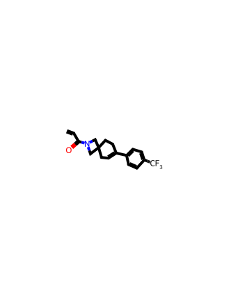 C=CC(=O)N1CC2(CC=C(c3ccc(C(F)(F)F)cc3)CC2)C1